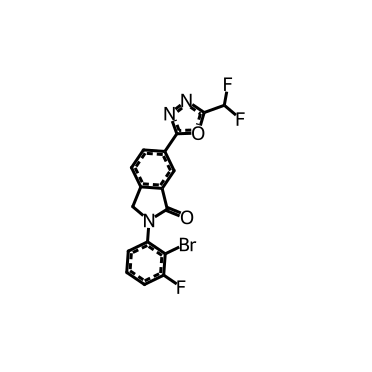 O=C1c2cc(-c3nnc(C(F)F)o3)ccc2CN1c1cccc(F)c1Br